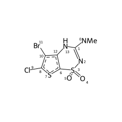 CNC1=NS(=O)(=O)c2sc(Cl)c(Br)c2N1